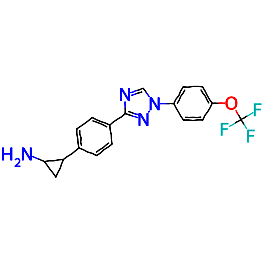 NC1CC1c1ccc(-c2ncn(-c3ccc(OC(F)(F)F)cc3)n2)cc1